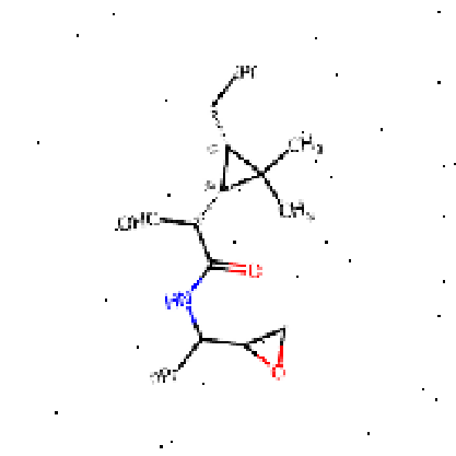 CCCC(NC(=O)C(C=O)[C@@H]1[C@H](CC(C)C)C1(C)C)C1CO1